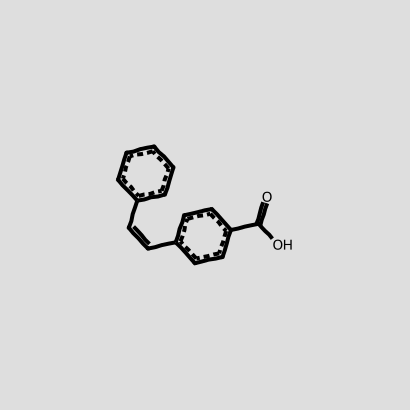 O=C(O)c1ccc(/C=C\c2ccccc2)cc1